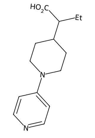 CCC(C(=O)O)C1CCN(c2ccncc2)CC1